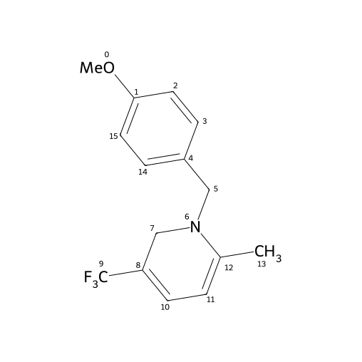 COc1ccc(CN2CC(C(F)(F)F)=CC=C2C)cc1